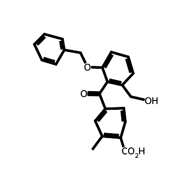 Cc1cc(C(=O)c2c(CO)cccc2OCc2ccccc2)ccc1C(=O)O